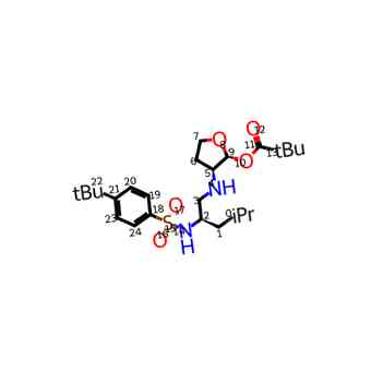 CC(C)C[C@H](CN[C@H]1CCO[C@H]1OC(=O)C(C)(C)C)NS(=O)(=O)c1ccc(C(C)(C)C)cc1